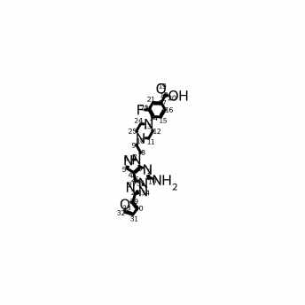 Nc1nc2c(cnn2CCN2CCN(c3ccc(C(=O)O)cc3F)CC2)c2nc(-c3ccco3)nn12